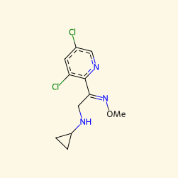 CON=C(CNC1CC1)c1ncc(Cl)cc1Cl